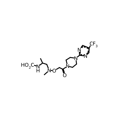 CC(CN(C)OCC(=O)N1CCN(c2ncc(C(F)(F)F)cn2)CC1)NC(=O)O